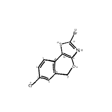 Clc1ccc2c(c1)COc1nc(Br)sc1-2